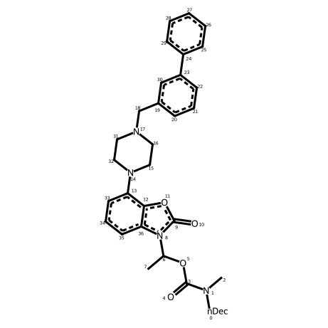 CCCCCCCCCCN(C)C(=O)OC(C)n1c(=O)oc2c(N3CCN(Cc4cccc(-c5ccccc5)c4)CC3)cccc21